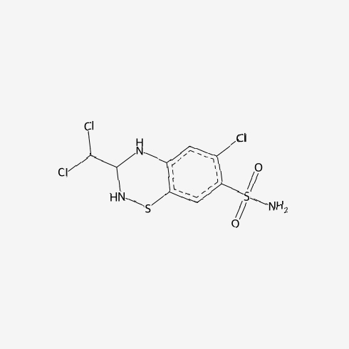 NS(=O)(=O)c1cc2c(cc1Cl)NC(C(Cl)Cl)NS2